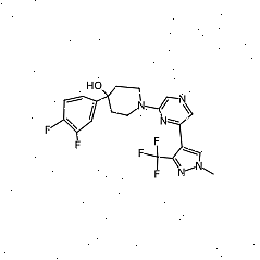 Cn1cc(-c2cncc(N3CCC(O)(c4ccc(F)c(F)c4)CC3)n2)c(C(F)(F)F)n1